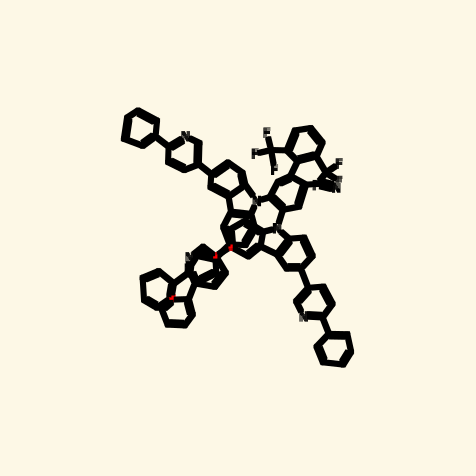 N#Cc1cc(-n2c3ccc(-c4ccc(-c5ccccc5)nc4)cc3c3cc(-c4ccc(-c5ccccc5)nc4)ccc32)c(-n2c3ccc(-c4ccc(-c5ccccc5)nc4)cc3c3cc(-c4ccc(-c5ccccc5)nc4)ccc32)cc1-c1c(C(F)(F)F)cccc1C(F)(F)F